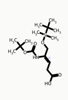 CC(C)(C)OC(=O)N/C(=C\CC(=O)O)CO[Si](C)(C)C(C)(C)C